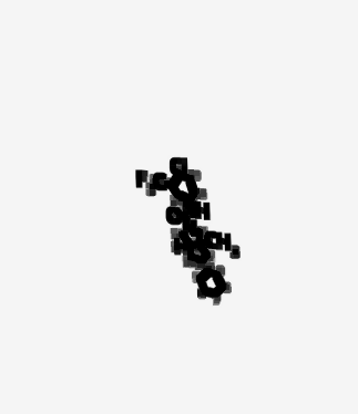 C[C@@]12C[C@H](c3ccccc3)C[C@@H]1CN(C(=O)Nc1ccc(Cl)c(C(F)(F)F)c1)C2